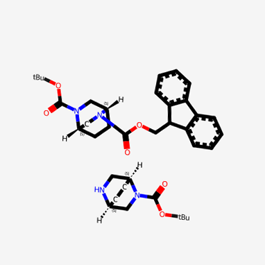 CC(C)(C)OC(=O)N1C[C@@H]2CC[C@H]1CN2.CC(C)(C)OC(=O)N1C[C@@H]2CC[C@H]1CN2C(=O)OCC1c2ccccc2-c2ccccc21